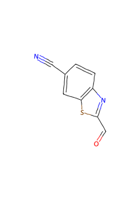 N#Cc1ccc2nc(C=O)sc2c1